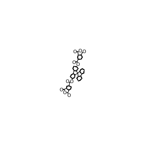 O=C(Oc1ccc2c(c1)C1(c3ccccc3-c3ccccc31)c1cc(OC(=O)c3ccc4c(c3)C(=O)OC4=O)ccc1-2)c1ccc2c(c1)C(=O)OC2=O